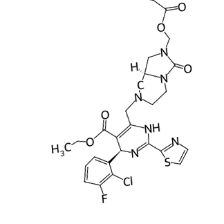 CCOC(=O)C1=C(CN2CCN3C(=O)N(COC(=O)C4CC4)C[C@@H]3C2)NC(c2nccs2)=N[C@H]1c1cccc(F)c1Cl